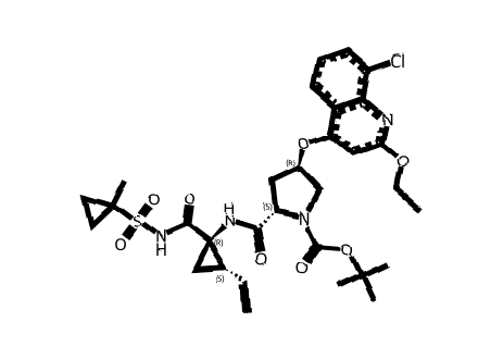 C=C[C@@H]1C[C@]1(NC(=O)[C@@H]1C[C@@H](Oc2cc(OCC)nc3c(Cl)cccc23)CN1C(=O)OC(C)(C)C)C(=O)NS(=O)(=O)C1(C)CC1